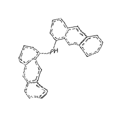 c1ccc2cc3c(Pc4cccc5cc6ccccc6cc45)cccc3cc2c1